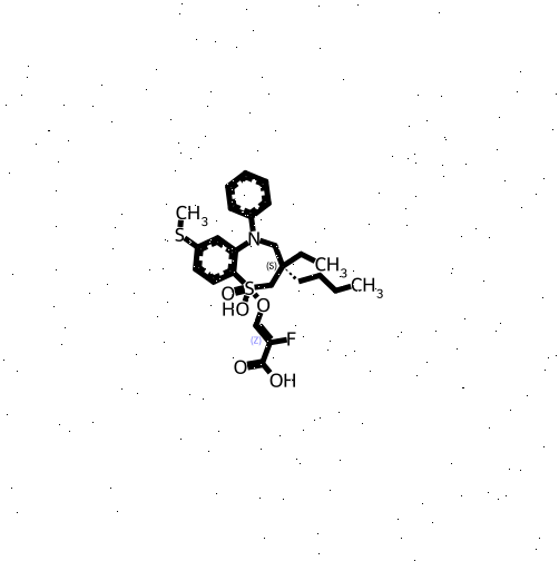 CCCC[C@@]1(CC)CN(c2ccccc2)c2cc(SC)ccc2S(=O)(O)(O/C=C(\F)C(=O)O)C1